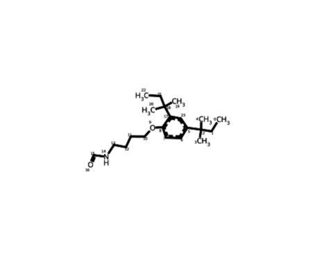 CCC(C)(C)c1ccc(OCCCCNC=O)c(C(C)(C)CC)c1